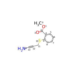 COC(=O)c1ccccc1SCC#CN